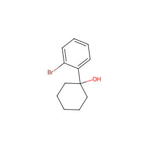 OC1(c2ccccc2Br)CCCCC1